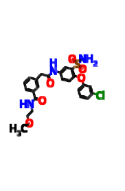 COCCNC(=O)c1cccc(CC(=O)Nc2ccc(Oc3cccc(Cl)c3)c(S(N)(=O)=O)c2)c1